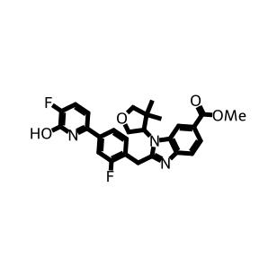 COC(=O)c1ccc2nc(Cc3ccc(-c4ccc(F)c(O)n4)cc3F)n(C3COCC3(C)C)c2c1